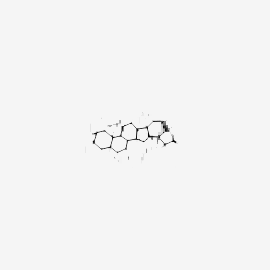 CC(=O)O[C@H]1C2C([C@@H](O)[C@@H](N)[C@@]3(O)C[C@@H]4O[C@@H]4[C@H](O)[C@]23C)[C@@H]2[C@@H](O)[C@@H]3[C@H]([C@H](C)[C@H]4O[C@]45OC(=O)[C@@](C)(O)[C@]35C)[C@@]2(C)[C@H]1OC(C)=O